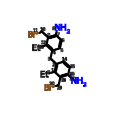 CCc1c(Cc2ccc(N)c(CBr)c2CC)ccc(N)c1CBr